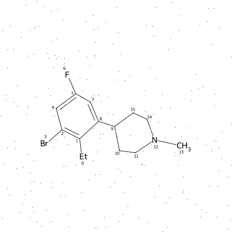 CCc1c(Br)cc(F)cc1C1CCN(C)CC1